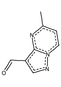 Cc1ccn2ncc(C=O)c2n1